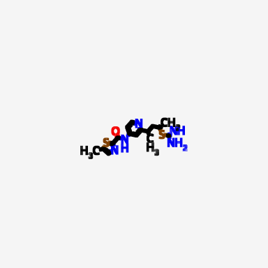 C=C(CC(C)c1cc(NC(=O)c2ncc(C)s2)ccn1)SC(=N)N